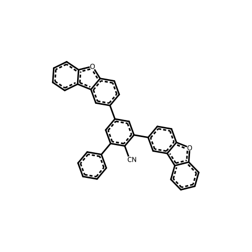 N#Cc1c(-c2ccccc2)cc(-c2ccc3oc4ccccc4c3c2)cc1-c1ccc2oc3ccccc3c2c1